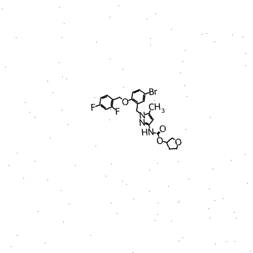 Cc1cc(NC(=O)OC2CCOC2)nn1Cc1cc(Br)ccc1OCc1ccc(F)cc1F